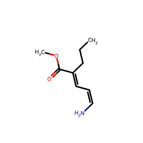 CCC/C(=C\C=C/N)C(=O)OC